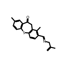 C=C(C)CN=Cc1ccc2c(c1C)CC(=O)c1cc(C)ccc1S2